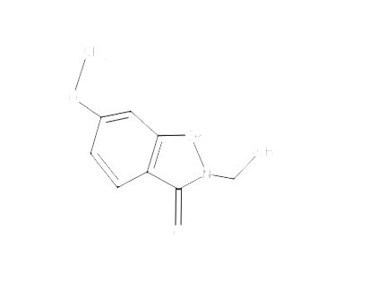 CCn1[se]c2cc(OC)ccc2c1=O